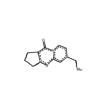 CCC(C)Cc1ccn2c(=O)c3c(nc2c1)CCC3